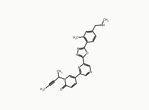 CC#CC(C)n1cc(-c2cncc(-c3nnc(-c4ccc(CNC)cc4C)o3)n2)ccc1=O